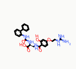 N=C(N)NCCOc1ccc(C(=O)NC[C@H](NC(=O)Nc2ccccc2-c2ccccc2)C(=O)O)c(O)c1